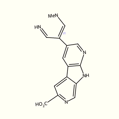 CN/C=C(\C=N)c1cnc2[nH]c3cnc(C(=O)O)cc3c2c1